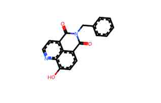 O=C1c2ccnc3c(O)ccc(c23)C(=O)N1Cc1ccccc1